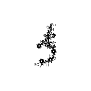 CC(=O)N1CCC[C@H]1C(=O)N[C@@H](CCCNC(=O)OC(C)(C)C)C(=O)NCC(=O)N[C@@H](CCc1ccccc1)C(=O)N[C@@H](CC(C)C)C(=O)NNC(=O)c1ccc(CNC(=O)c2ccc(NN=Cc3ccccc3S(=O)(=O)O)nc2)cc1